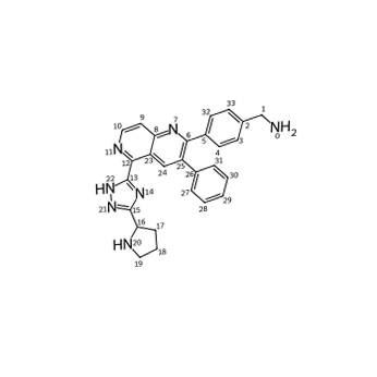 NCc1ccc(-c2nc3ccnc(-c4nc(C5CCCN5)n[nH]4)c3cc2-c2ccccc2)cc1